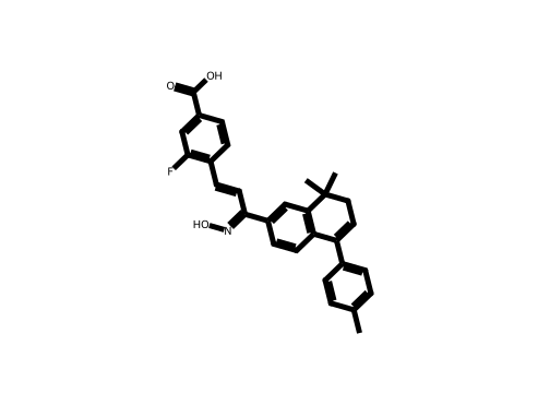 Cc1ccc(C2=CCC(C)(C)c3cc(C(/C=C/c4ccc(C(=O)O)cc4F)=N/O)ccc32)cc1